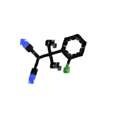 CC(C)(c1ccccc1Cl)C(C#N)C#N